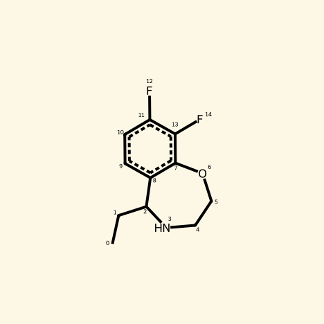 CCC1NCCOc2c1ccc(F)c2F